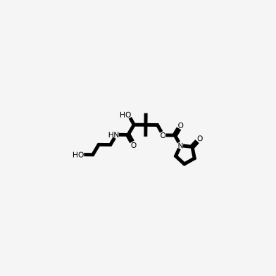 CC(C)(COC(=O)N1CCCC1=O)C(O)C(=O)NCCCO